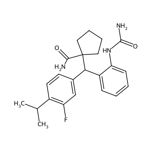 CC(C)c1ccc(C(c2ccccc2NC(N)=O)C2(C(N)=O)CCCC2)cc1F